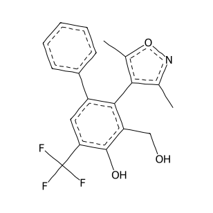 Cc1noc(C)c1-c1c(-c2ccccc2)cc(C(F)(F)F)c(O)c1CO